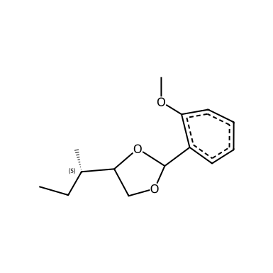 CC[C@H](C)C1COC(c2ccccc2OC)O1